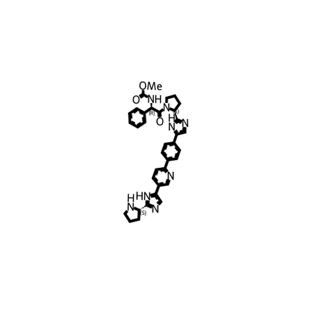 COC(=O)N[C@@H](C(=O)N1CCC[C@H]1c1ncc(-c2ccc(-c3ccc(-c4cnc([C@@H]5CCCN5)[nH]4)cn3)cc2)[nH]1)c1ccccc1